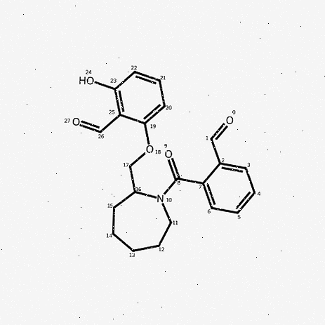 O=Cc1ccccc1C(=O)N1CCCCCC1COc1cccc(O)c1C=O